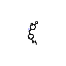 O=C1CC/C(=C\c2ccc(P)cc2)CO1